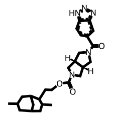 CC1CC2CC(C)C(CCOC(=O)N3C[C@@H]4CN(C(=O)c5ccc6[nH]nnc6c5)C[C@@H]4C3)C(C1)C2